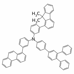 CC1(C)c2ccccc2-c2cccc(-c3cccc(N(c4ccc(-c5ccc(-c6ccccc6)c(-c6ccccc6)c5)cc4)c4cccc(-c5cccc6c5ccc5ccccc56)c4)c3)c21